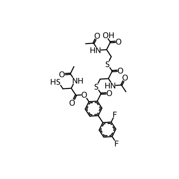 CC(=O)NC(CSC(=O)C(CSC(=O)c1cc(-c2ccc(F)cc2F)ccc1OC(=O)C(CS)NC(C)=O)NC(C)=O)C(=O)O